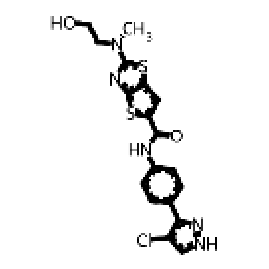 CN(CCO)c1nc2sc(C(=O)Nc3ccc(-c4n[nH]cc4Cl)cc3)cc2s1